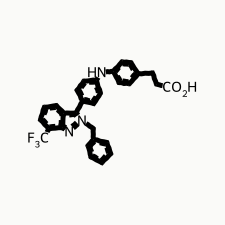 O=C(O)CCc1ccc(Nc2ccc(-c3c4cccc(C(F)(F)F)c4nn3Cc3ccccc3)cc2)cc1